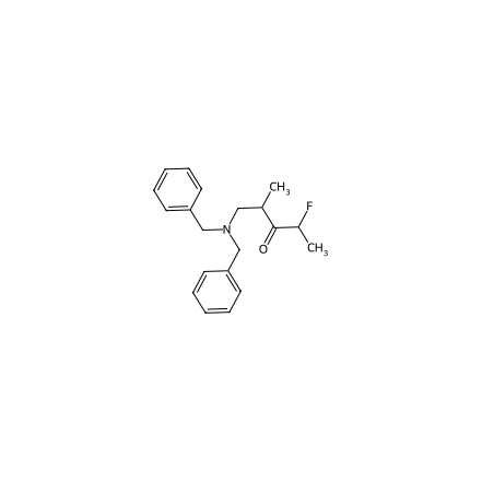 CC(F)C(=O)C(C)CN(Cc1ccccc1)Cc1ccccc1